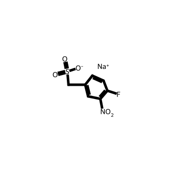 O=[N+]([O-])c1cc(CS(=O)(=O)[O-])ccc1F.[Na+]